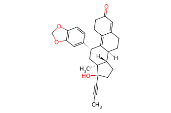 CC#C[C@@]1(O)CC[C@H]2[C@@H]3CCC4=CC(=O)CCC4=C3[C@@H](c3ccc4c(c3)OCO4)C[C@@]21C